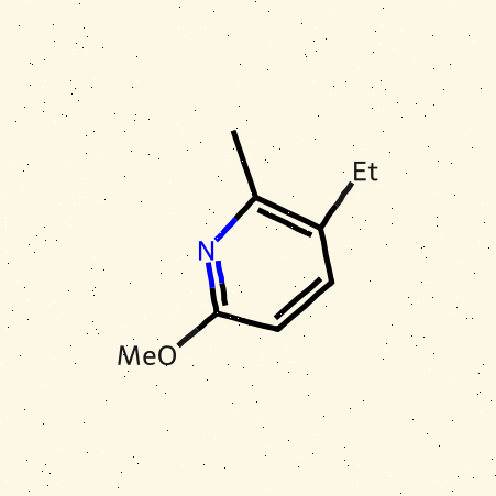 CCc1ccc(OC)nc1C